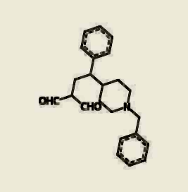 O=CC(C=O)CC(c1ccccc1)C1CCN(Cc2ccccc2)CC1